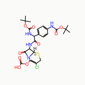 CC(C)(C)OC(=O)Nc1ccc(C(NC(=O)OC(C)(C)C)C(=O)NC2C(=O)N3C(OC(=O)O)=C(Cl)CS[C@@H]23)cc1